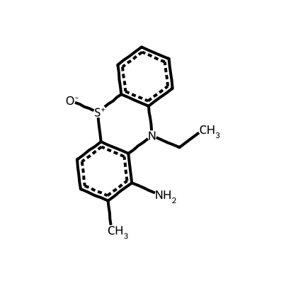 CCN1c2ccccc2[S+]([O-])c2ccc(C)c(N)c21